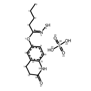 CCCCC(=NS)Oc1ccc2c(c1)CCC(=O)N2.O=S(=O)(O)O